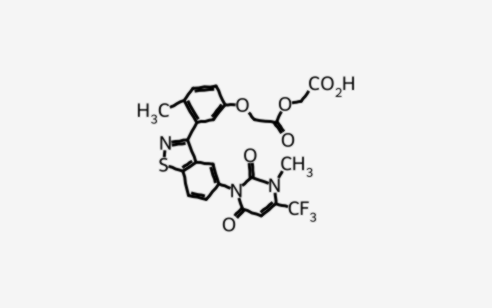 Cc1ccc(OCC(=O)OCC(=O)O)cc1-c1nsc2ccc(-n3c(=O)cc(C(F)(F)F)n(C)c3=O)cc12